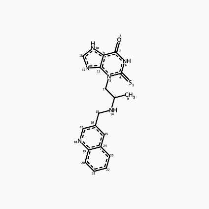 CC(Cn1c(=S)[nH]c(=O)c2[nH]cnc21)NCc1cnc2ccccc2c1